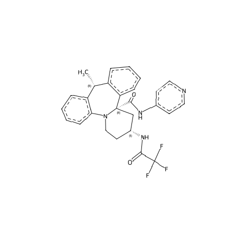 C[C@H]1c2ccccc2N2CC[C@@H](NC(=O)C(F)(F)F)C[C@]2(C(=O)Nc2ccncc2)c2ccccc21